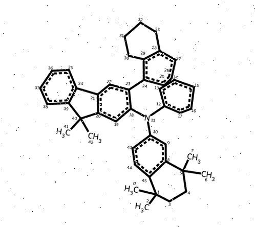 CC1(C)CCC(C)(C)c2cc(N(c3ccccc3)c3cc4c(cc3-c3cccc5c3CCCC5)-c3ccccc3C4(C)C)ccc21